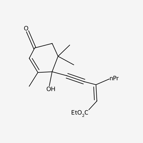 CCC/C(C#CC1(O)C(C)=CC(=O)CC1(C)C)=C/C(=O)OCC